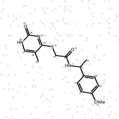 COc1ccc(C(C)NC(=O)CSc2nc(=O)[nH]cc2C)cc1